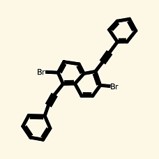 Brc1ccc2c(C#Cc3ccccc3)c(Br)ccc2c1C#Cc1ccccc1